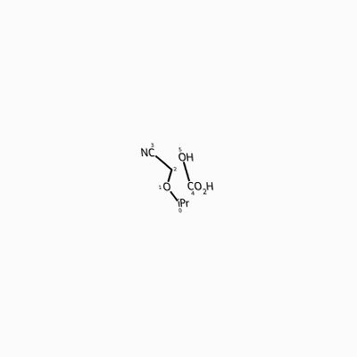 CC(C)OCC#N.O=C(O)O